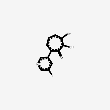 CC(C)c1cccc(-c2cncc(F)c2)c(=O)c1O